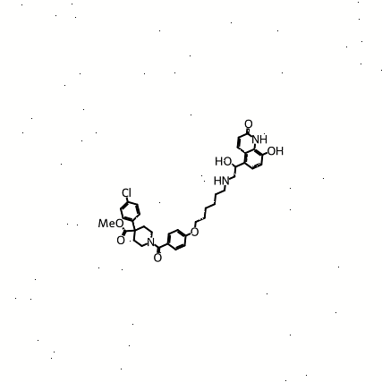 COC(=O)C1(c2ccc(Cl)cc2)CCN(C(=O)c2ccc(OCCCCCCNCC(O)c3ccc(O)c4[nH]c(=O)ccc34)cc2)CC1